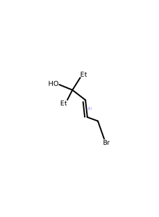 CCC(O)(/C=C/CBr)CC